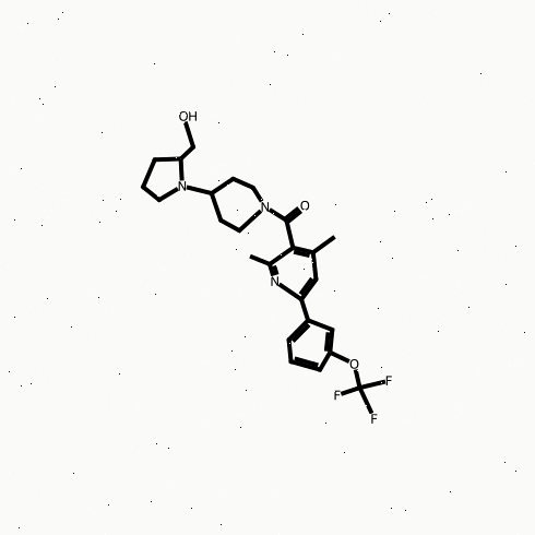 Cc1cc(-c2cccc(OC(F)(F)F)c2)nc(C)c1C(=O)N1CCC(N2CCCC2CO)CC1